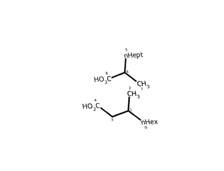 CCCCCCC(C)CC(=O)O.CCCCCCCC(C)C(=O)O